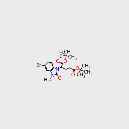 Cn1c(=O)n(C(CCC(=O)OC(C)(C)C)C(=O)OC(C)(C)C)c2ccc(Br)cc21